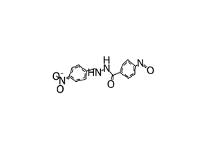 O=Nc1ccc(C(=O)NNCc2ccc([N+](=O)[O-])cc2)cc1